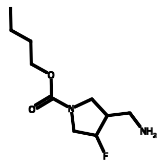 CCCCOC(=O)N1CC(F)C(CN)C1